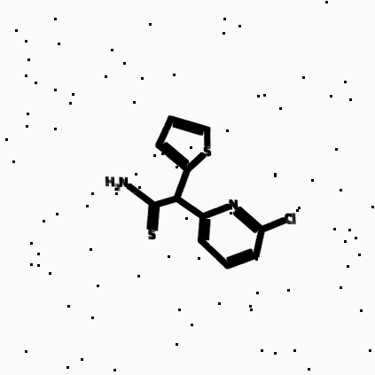 NC(=S)C(c1cccc(Cl)n1)c1cccs1